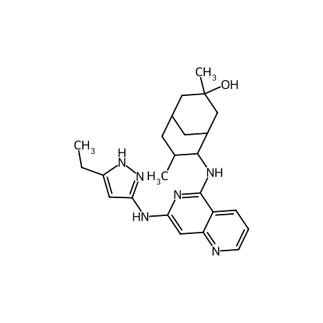 CCc1cc(Nc2cc3ncccc3c(NC3C(C)CC4CC3CC(C)(O)C4)n2)n[nH]1